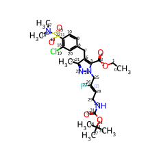 CCOC(=O)c1c(Cc2ccc(S(=O)(=O)N(C)C)c(Cl)c2)c(C)nn1C/C(F)=C/CNC(=O)OC(C)(C)C